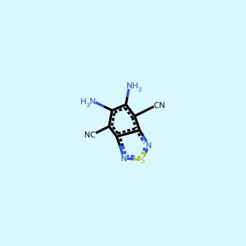 N#Cc1c(N)c(N)c(C#N)c2nsnc12